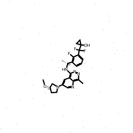 CO[C@H]1CCN(c2cnc3c(C)nnc(N[C@H](C)c4cccc(C(F)(F)C5(O)CC5)c4F)c3c2)C1